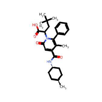 Cc1c(C(=O)N[C@H]2CC[C@H](C)CC2)cc(=O)n(C(CC(C)(C)C)C(=O)O)c1-c1ccccc1